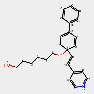 OCCCCCCOC1(C=Cc2ccncc2)C=CC(c2ccccc2)=CC1